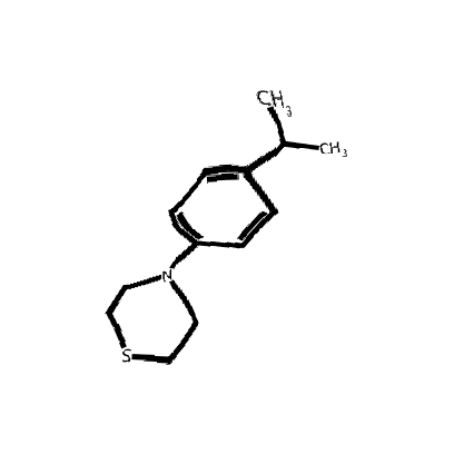 CC(C)c1ccc(N2CCSCC2)cc1